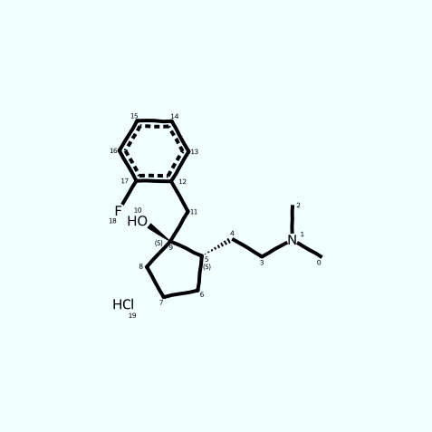 CN(C)CC[C@@H]1CCC[C@]1(O)Cc1ccccc1F.Cl